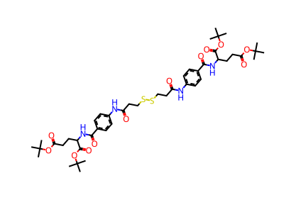 CC(C)(C)OC(=O)CCC(NC(=O)c1ccc(NC(=O)CCSSCCC(=O)Nc2ccc(C(=O)NC(CCC(=O)OC(C)(C)C)C(=O)OC(C)(C)C)cc2)cc1)C(=O)OC(C)(C)C